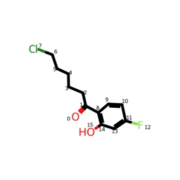 O=C(CCCCCCl)c1ccc(F)cc1O